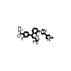 Cn1cc(-c2cn(-c3cccc4c(-c5ccc(C(N)=O)c(F)c5)cc(C(F)(F)F)nc34)cn2)cn1